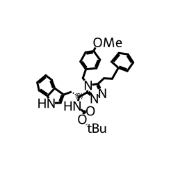 COc1ccc(Cn2c(CCc3ccccc3)nnc2[C@@H](Cc2c[nH]c3ccccc23)NC(=O)OC(C)(C)C)cc1